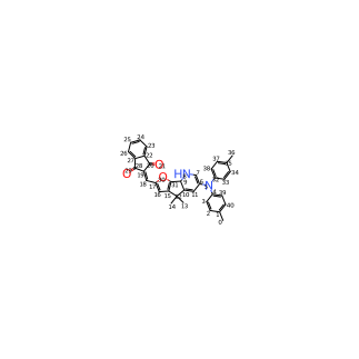 Cc1ccc(N(C2=CNC3C(=C2)C(C)(C)c2cc(C=C4C(=O)c5ccccc5C4=O)oc23)c2ccc(C)cc2)cc1